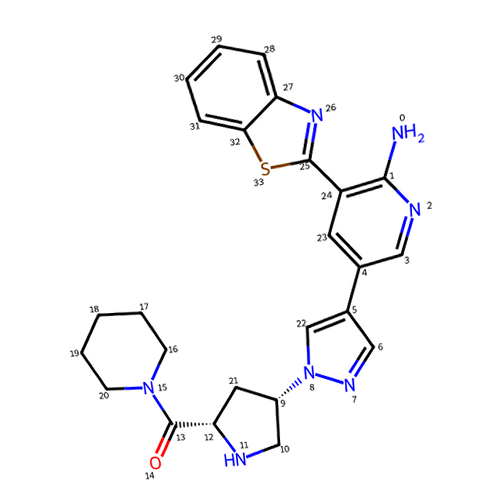 Nc1ncc(-c2cnn([C@@H]3CN[C@H](C(=O)N4CCCCC4)C3)c2)cc1-c1nc2ccccc2s1